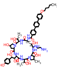 CCCCCOc1ccc(-c2ccc(-c3ccc(C(=O)N[C@H]4C[C@@H](O)C(NCCN)NC(=O)C5[C@@H](O)[C@@H](C)CN5C(=O)C([C@@H](C)O)NC(=O)C([C@H](O)[C@@H](O)c5ccc(O)cc5)NC(=O)C5C[C@@H](O)CN5C(=O)C([C@@H](C)O)NC4=O)cc3)cc2)cc1